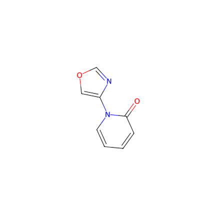 O=c1ccccn1-c1cocn1